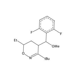 CCC1CC(C(OC)c2c(F)cccc2F)C(C(C)(C)C)=NO1